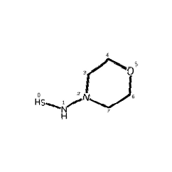 SNN1CCOCC1